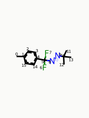 Cc1ccc(C(F)(F)/N=N/C(C)(C)C)cc1